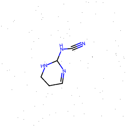 N#CNC1N=CCCN1